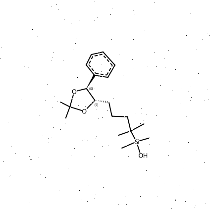 CC1(C)O[C@@H](CCCC(C)(C)[Si](C)(C)O)[C@H](c2ccccc2)O1